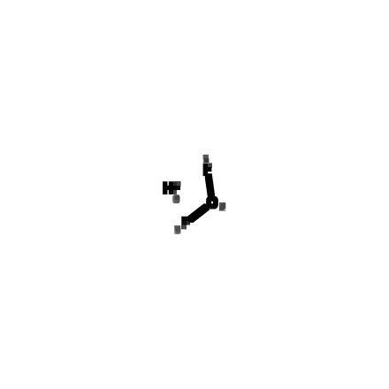 F.FOF